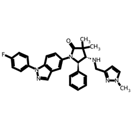 Cn1ccc(CN[C@@H]2[C@@H](c3ccccc3)N(c3ccc4c(cnn4-c4ccc(F)cc4)c3)C(=O)C2(C)C)n1